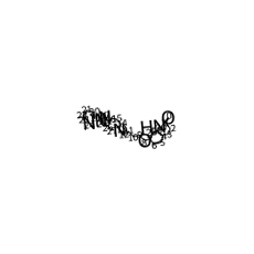 O=C1CCc2ccc(OCCCCN3CCc4nn(-c5ccccn5)cc4C3)cc2N1